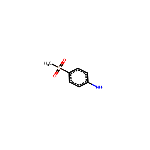 CS(=O)(=O)c1ccc([NH])cc1